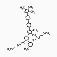 COCCOCCOc1ccc(C)cc1-c1cc(-c2sc(-c3ccc(-c4ccc(-c5sc(C)c(C)c5C)cc4)cc3)c(C)c2C)ccc1OCCOCCOC